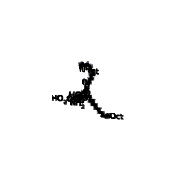 CCCCC/C=C\C/C=C\C/C=C\CCCCC(=O)OC[C@H](COP(=O)(O)OC[C@H](N)C(=O)O)OC(=O)CCCCCCCCC/C=C\CCCCCCCC